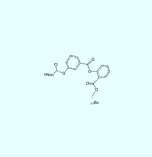 CCCCCCCCCC(Cl)Oc1cccc(C(=O)Oc2ccccc2C(=O)OC[C@@H](C)CC)c1